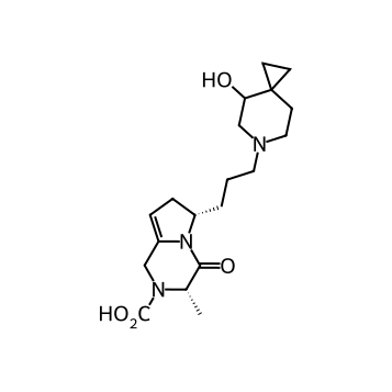 C[C@H]1C(=O)N2C(=CC[C@@H]2CCCN2CCC3(CC3)C(O)C2)CN1C(=O)O